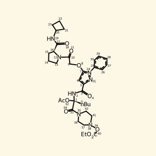 CCCC[C@](NC(=O)c1cc(OCC(=O)N2CCC[C@H]2C(=O)NC2CCC2)n(-c2ccccc2)n1)(OC(C)=O)C(=O)N1CCN(OC(=O)OCC)CC1